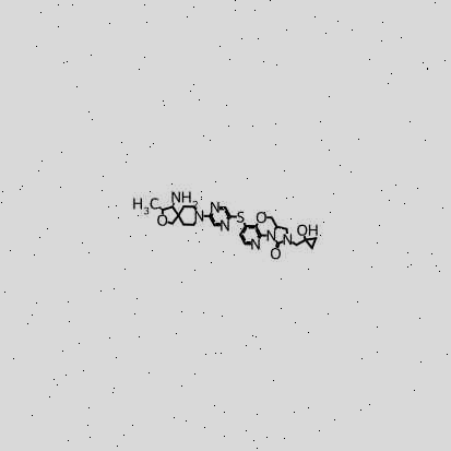 C[C@@H]1OCC2(CCN(c3cnc(Sc4ccnc5c4OCC4CN(CC6(O)CC6)C(=O)N54)cn3)CC2)[C@@H]1N